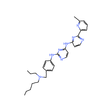 CCCCCN(CCC)Cc1ccc(Nc2nccc(Nc3ccnc(-c4cccc(C)n4)n3)n2)cc1